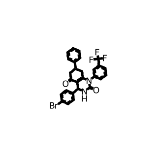 O=C1CC(c2ccccc2)CC2=C1C(c1ccc(Br)cc1)NC(=O)N2c1cccc(C(F)(F)F)c1